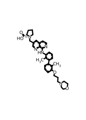 Cc1c(Nc2nccc3cc(CN4CCC[C@H]4C(=O)O)cnc23)cccc1-c1cccc(OCCCN2CCOCC2)c1C